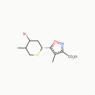 CCOC(=O)c1noc([C@H]2CC(Br)C(C)CS2)c1C